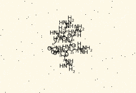 N=C(N)NCCC[C@H](NC(=O)[C@H](CCCNC(=N)N)NC(=O)[C@H](CCCNC(=N)N)NC(=O)[C@H](CCCNC(=N)N)NC(=O)[C@@H](N)CCCNC(=N)N)C(=O)O